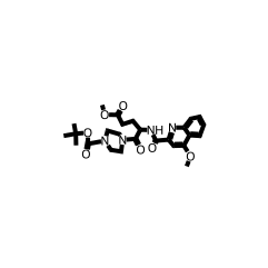 COC(=O)CCC(NC(=O)c1cc(OC)c2ccccc2n1)C(=O)N1CCN(C(=O)OC(C)(C)C)CC1